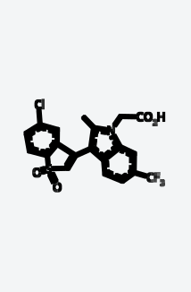 Cc1c(C2=CS(=O)(=O)c3ccc(Cl)cc32)c2ccc(C(F)(F)F)cc2n1CC(=O)O